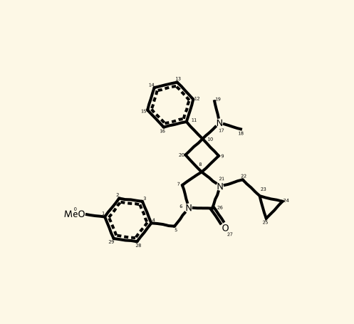 COc1ccc(CN2CC3(CC(c4ccccc4)(N(C)C)C3)N(CC3CC3)C2=O)cc1